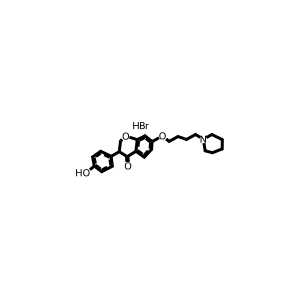 Br.O=C1c2ccc(OCCCCN3CCCCC3)cc2OCC1c1ccc(O)cc1